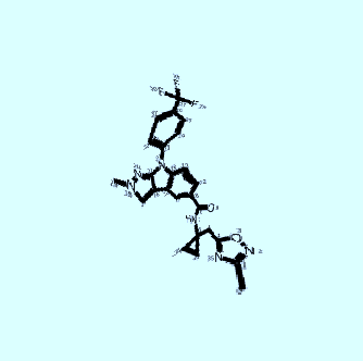 Cc1noc(CC2(NC(=O)c3ccc4c(c3)c3cn(C)nc3n4-c3ccc(C(F)(F)F)cc3)CC2)n1